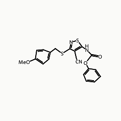 COc1ccc(CSc2nsc(NC(=O)Oc3ccccc3)c2C#N)cc1